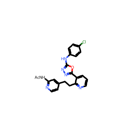 CC(=O)Nc1cc(CCc2ncccc2-c2nnc(Nc3ccc(Cl)cc3)o2)ccn1